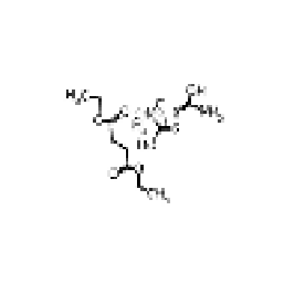 CCOC(=O)CCC(=O)OCC.CN(C)C(O)=S.NC(O)=S